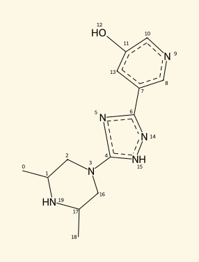 CC1CN(c2nc(-c3cncc(O)c3)n[nH]2)CC(C)N1